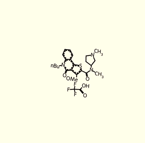 CCCCn1c(=O)c2c(OC)c(C(=O)N(C)C3CCN(C)C3)sc2c2ccccc21.O=C(O)C(F)(F)F